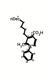 CCCCCCCCCCCCCCc1c(C(=O)O)cc[n+](-c2ccccc2)c1C